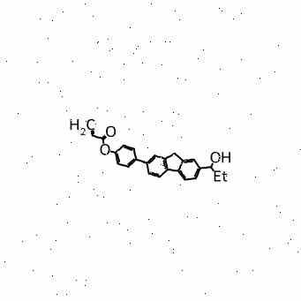 C=CC(=O)Oc1ccc(-c2ccc3c(c2)Cc2cc(C(O)CC)ccc2-3)cc1